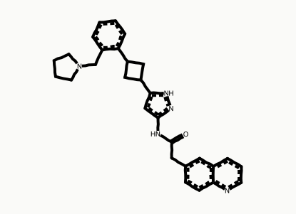 O=C(Cc1ccc2ncccc2c1)Nc1cc(C2CC(c3ccccc3CN3CCCC3)C2)[nH]n1